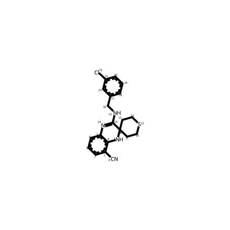 N#Cc1cccc2c1NC1(CCSCC1)C(NCc1cccc(Cl)c1)=N2